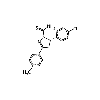 Cc1ccc(C2=NN(C(N)=S)[C@H](c3ccc(Cl)cc3)C2)cc1